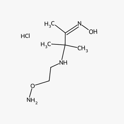 CC(=NO)C(C)(C)NCCON.Cl